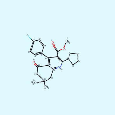 COC(=O)c1c(C2CCCC2)nc2c(c1-c1ccc(F)cc1)C(=O)CC(C)(C)C2